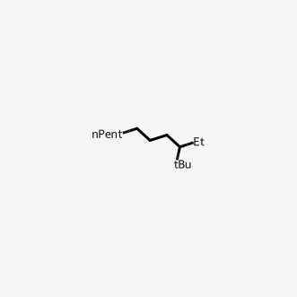 CCCCCCCC[C](CC)C(C)(C)C